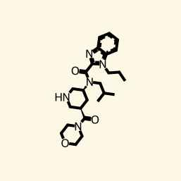 CCCn1c(C(=O)N(CC(C)C)[C@@H]2CNC[C@H](C(=O)N3CCOCC3)C2)nc2ccccc21